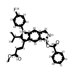 COC(=O)/C=C/c1c(C(C)C)n(-c2ccc(F)cc2)c2cc3cnn(OC(=O)c4ccccc4)c3cc12